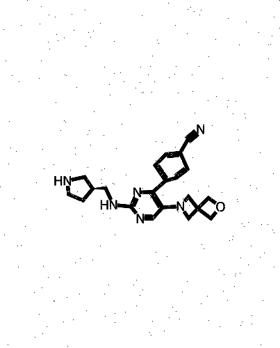 N#Cc1ccc(-c2nc(NC[C@H]3CCNC3)ncc2N2CC3(COC3)C2)cc1